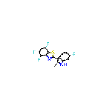 Cc1[nH]c2cc(F)ccc2c1-c1nc2c(F)c(F)cc(F)c2s1